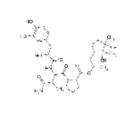 CC(CC1CCC(C)(C)C1(C)C)OC(=O)C1CCCN1C(=O)C(NC(=O)C(O)Cc1ccc(O)c(O)c1)C(C)C(N)=O